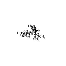 CCOC(OCC)c1c(I)c2cnc(Cl)nc2n1CCNC(=O)OC(C)(C)C